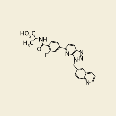 CC(NC(=O)c1ccc(-c2ccc3nnn(Cc4ccc5ncccc5c4)c3n2)cc1F)C(=O)O